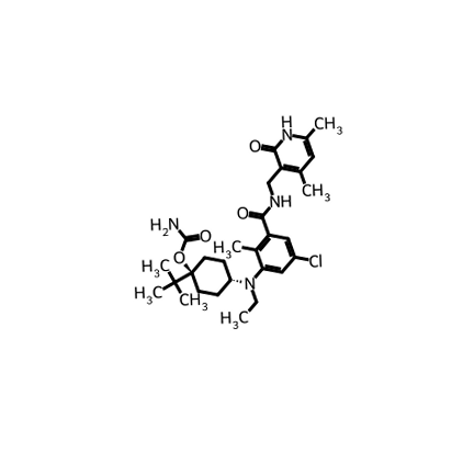 CCN(c1cc(Cl)cc(C(=O)NCc2c(C)cc(C)[nH]c2=O)c1C)[C@H]1CC[C@@](OC(N)=O)(C(C)(C)C)CC1